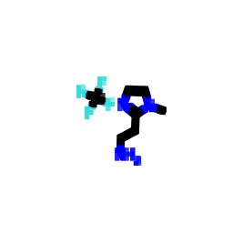 Cn1ccnc1CCN.F[B-](F)(F)F